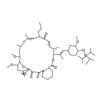 CCCC1/C=C(\C)CC(C)CC(OC)C2OC(O)(C(=O)C(=O)N3CCCCC3C(=O)OC(C(C)=CC3CCC(O[Si](C(C)C)(C(C)C)C(C)C)C(OC)C3)C(C)/C=C/C1=O)C(C)CC2OC